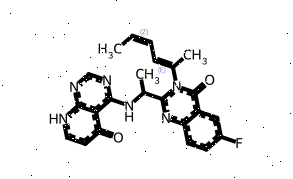 C/C=C\C=C(/C)n1c(C(C)Nc2ncnc3[nH]ccc(=O)c23)nc2ccc(F)cc2c1=O